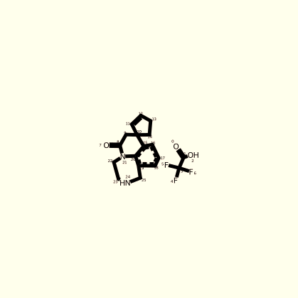 O=C(O)C(F)(F)F.O=C1CC2(C=CCC2)c2cccc3c2N1CCNC3